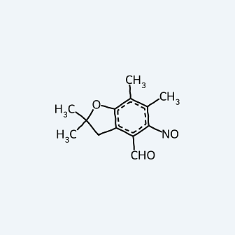 Cc1c(C)c2c(c(C=O)c1N=O)CC(C)(C)O2